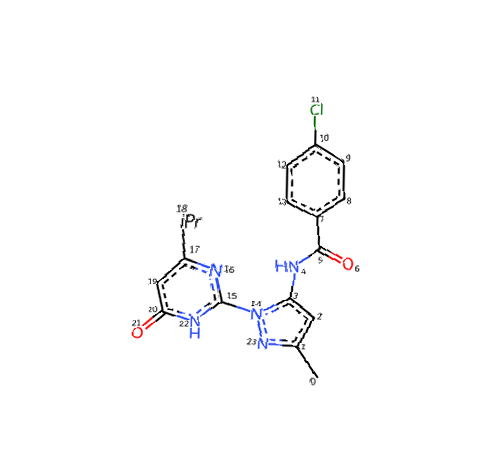 Cc1cc(NC(=O)c2ccc(Cl)cc2)n(-c2nc(C(C)C)cc(=O)[nH]2)n1